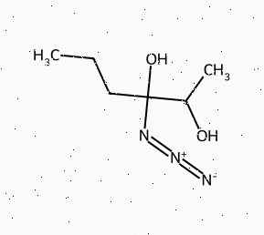 CCCC(O)(N=[N+]=[N-])[C](C)O